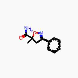 CC1(C(N)=O)CC(c2ccccc2)=NO1